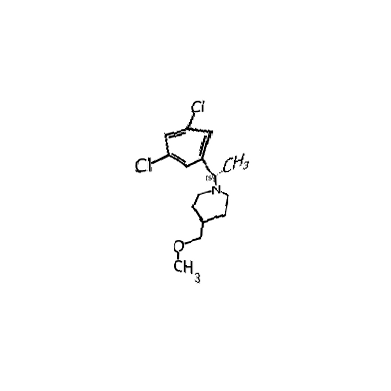 COCC1CCN([C@@H](C)c2cc(Cl)cc(Cl)c2)CC1